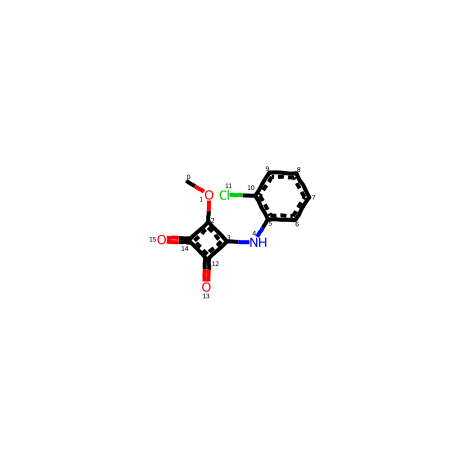 COc1c(Nc2ccccc2Cl)c(=O)c1=O